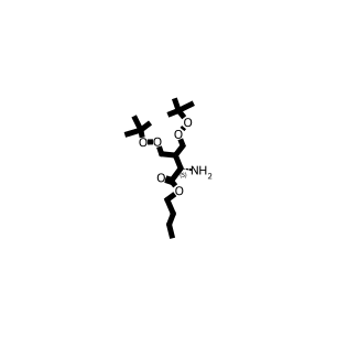 CCCCOC(=O)[C@@H](N)C(COOC(C)(C)C)COOC(C)(C)C